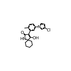 Cc1ccc(-n2ccc(Cl)c2)cc1C1=C(O)C2(CCCCC2)NC1=O